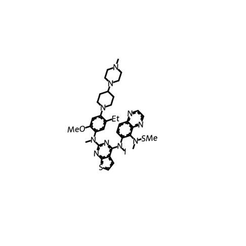 CCc1cc(N(C)c2nc(N(I)c3ccc4nccnc4c3N(C)SC)c3ccsc3n2)c(OC)cc1N1CCC(N2CCN(C)CC2)CC1